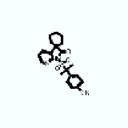 CC(C)(c1ccc(C#N)cc1)S(=O)(=O)NC(=O)C1(c2cccnc2)CCCCC1